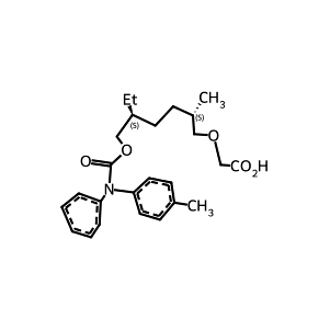 CC[C@@H](CC[C@H](C)COCC(=O)O)COC(=O)N(c1ccccc1)c1ccc(C)cc1